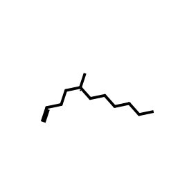 C=CCC[C](C)CCCCCC